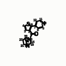 O=C(c1ccsc1-c1ccncc1)N1CCN2CCC1CC2